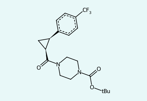 CC(C)(C)OC(=O)N1CCN(C(=O)[C@H]2C[C@H]2c2ccc(C(F)(F)F)cc2)CC1